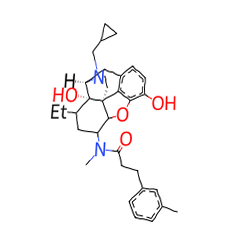 CCC1CC(N(C)C(=O)CCc2cccc(C)c2)C2Oc3c(O)ccc4c3[C@@]23CCN(CC2CC2)[C@H](C4)[C@]13O